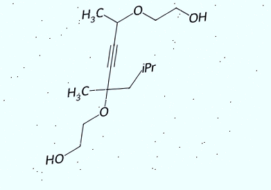 CC(C)CC(C)(C#CC(C)OCCO)OCCO